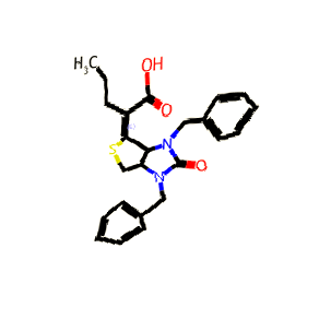 CCC/C(C(=O)O)=C1\SCC2C1N(Cc1ccccc1)C(=O)N2Cc1ccccc1